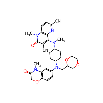 CN1C(=O)COc2ccc(N(CC3COCCO3)[C@H]3CC[C@@H](N(C)c4c(C#N)c(=O)n(C)c5ccc(C#N)nc45)CC3)cc21